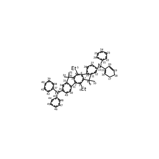 CCc1c2c(c(CC)c3c1C(C)(C)c1cc(N(C4=CCCC=C4)c4ccccc4)ccc1-3)C(C)(C)c1cc(N(c3ccccc3)c3ccccc3)ccc1-2